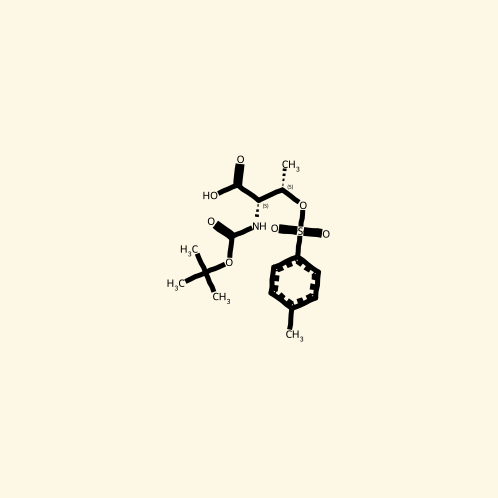 Cc1ccc(S(=O)(=O)O[C@@H](C)[C@H](NC(=O)OC(C)(C)C)C(=O)O)cc1